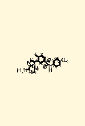 CO[C@H]1CC[C@H](NS(=O)(=O)c2ccc(C)c(-c3cnc4c(N)ncnn34)c2)CC1